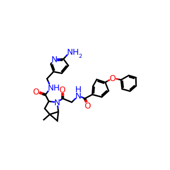 CC12CC(C(=O)NCc3ccc(N)nc3)N(C(=O)CNC(=O)c3ccc(Oc4ccccc4)cc3)C1C2